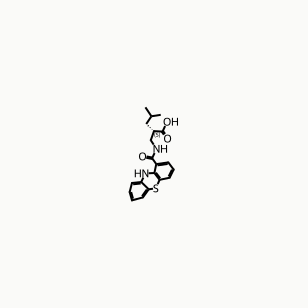 CC(C)C[C@@H](CNC(=O)c1cccc2c1Nc1ccccc1S2)C(=O)O